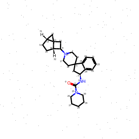 O=C(N[C@H]1CC2(CCN(C3CC45C[C@H]4CC[C@@H]35)CC2)c2ccccc21)N1CCCCC1